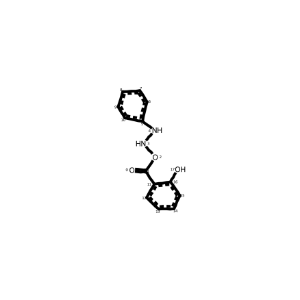 O=C(ONNc1ccccc1)c1ccccc1O